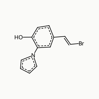 Oc1ccc(C=CBr)cc1-n1cccc1